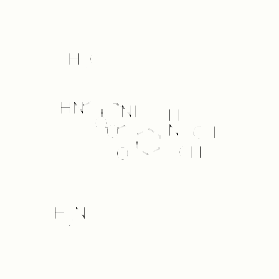 CCCC[C@H](NC(=O)c1cc(NC(C)C)ccc1OCCCCCN)C(=O)C=N